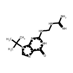 CC(C)(C)n1cnc2c(=O)[nH]c(NCNC(=N)N)nc21